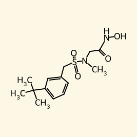 CN(CC(=O)NO)S(=O)(=O)Cc1cccc(C(C)(C)C)c1